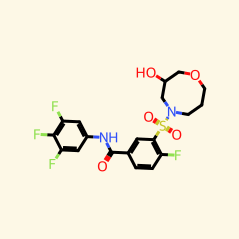 O=C(Nc1cc(F)c(F)c(F)c1)c1ccc(F)c(S(=O)(=O)N2CCCOCC(O)C2)c1